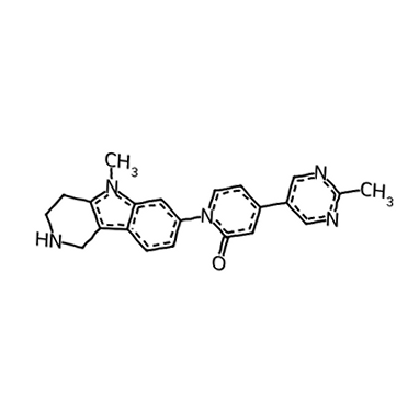 Cc1ncc(-c2ccn(-c3ccc4c5c(n(C)c4c3)CCNC5)c(=O)c2)cn1